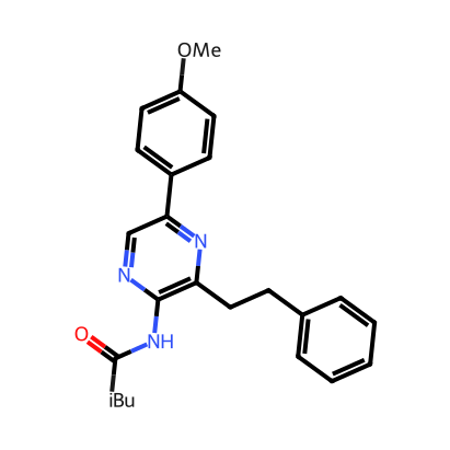 CCC(C)C(=O)Nc1ncc(-c2ccc(OC)cc2)nc1CCc1ccccc1